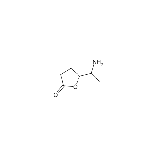 CC(N)C1CCC(=O)O1